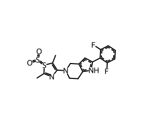 CC1=NC(N2CCc3[nH]c(-c4c(F)cccc4F)cc3C2)=C(C)S1=S(=O)=O